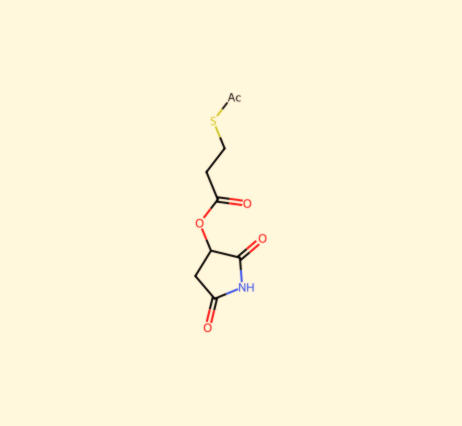 CC(=O)SCCC(=O)OC1CC(=O)NC1=O